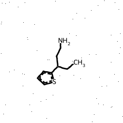 CCC(CCN)c1cccs1